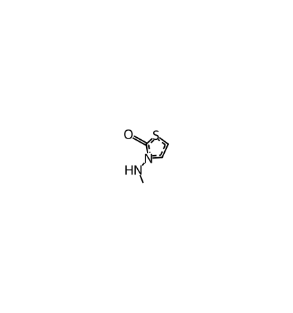 CNn1ccsc1=O